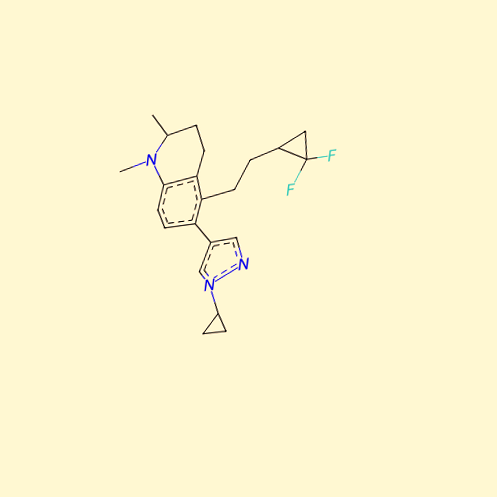 CC1CCc2c(ccc(-c3cnn(C4CC4)c3)c2CCC2CC2(F)F)N1C